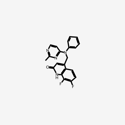 Cc1nccc(N(Cc2cc(=O)[nH]c3c(F)c(F)ccc23)c2ccccc2)n1